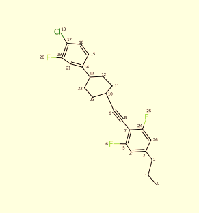 CCCc1cc(F)c(C#CC2CCC(c3ccc(Cl)c(F)c3)CC2)c(F)c1